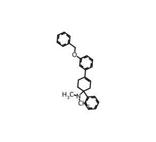 CN(C)C1(c2ccccc2)CC=C(c2cccc(OCc3ccccc3)c2)CC1